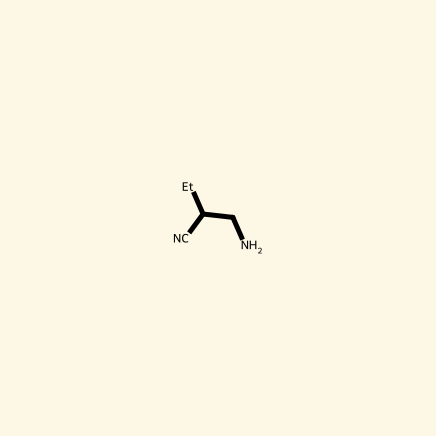 CCC(C#N)CN